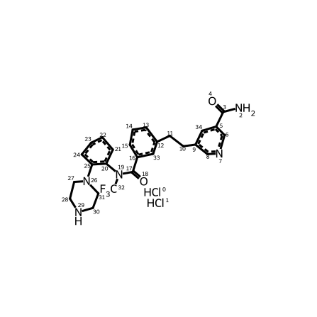 Cl.Cl.NC(=O)c1cncc(CCc2cccc(C(=O)N(c3ccccc3N3CCNCC3)C(F)(F)F)c2)c1